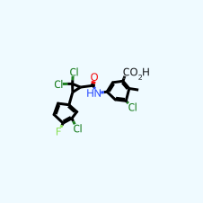 Cc1c(Cl)cc(NC(=O)C2C(c3ccc(F)c(Cl)c3)C2(Cl)Cl)cc1C(=O)O